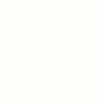 CN(c1ccc(OC(F)(F)F)cc1)c1cc(-c2ccc(F)cc2)nc(-c2ccc(F)cc2)c1